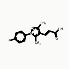 Cc1nn(-c2ccc(F)cc2)c(C)c1/C=C/C(=O)O